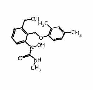 CNC(=O)N(O)c1cccc(CO)c1COc1ccc(C)cc1C